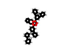 c1ccc2c(c1)C1c3ccccc3C2c2c(-c3cc4c5ccccc5n5c6ccccc6c(c3)c45)ccc(-c3ccc4c(c3)c3ccccc3n4-c3cccc4c3oc3ccccc34)c21